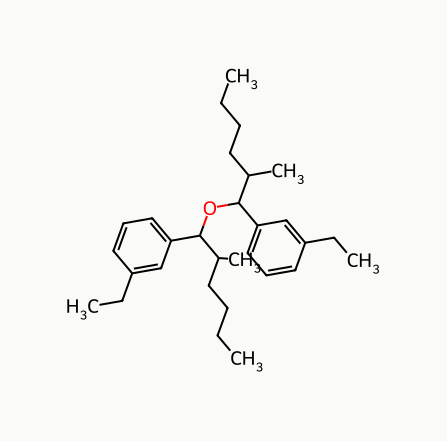 CCCCC(C)C(OC(c1cccc(CC)c1)C(C)CCCC)c1cccc(CC)c1